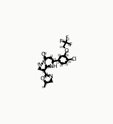 Cc1cnc(-c2cnn3c(=O)cc(-c4ccc(Cl)c(OCC(F)(F)F)c4)[nH]c23)o1